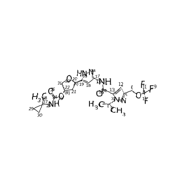 CC(C)n1nc(COC(F)(F)F)cc1C(=O)Nc1cc([C@H]2C[C@@H](OC(=O)NC3(C)CC3)CO2)[nH]n1